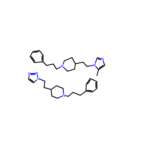 Cc1cncn1CCC1CCN(CCCc2ccccc2)CC1.c1ccc(CCCN2CCC(CCn3ccnn3)CC2)cc1